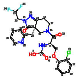 O=C(O)N[C@H](COc1ccccc1Cl)C(=O)N1CCC2=NN(CC(F)F)C(=O)[C@]2(Cc2ccccn2)C1